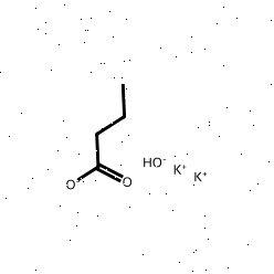 CCCC(=O)[O-].[K+].[K+].[OH-]